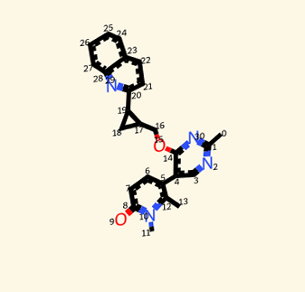 Cc1ncc(-c2ccc(=O)n(C)c2C)c(OCC2CC2c2ccc3ccccc3n2)n1